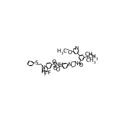 CCOc1cncc(-c2cc(C(=O)N3CCN(c4ccc(C(=O)NS(=O)(=O)c5ccc(NCCSc6ccccc6)c(C(F)(F)F)c5)cc4)CC3)cc(C(C)(C)C)c2)c1